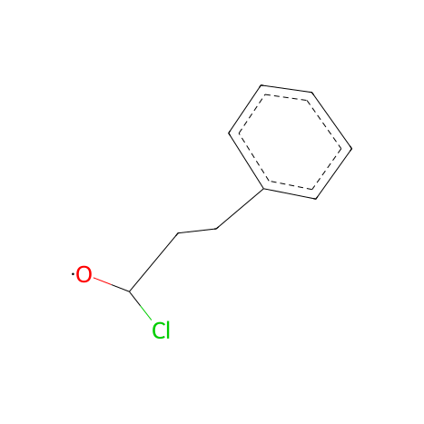 [O]C(Cl)CCc1ccccc1